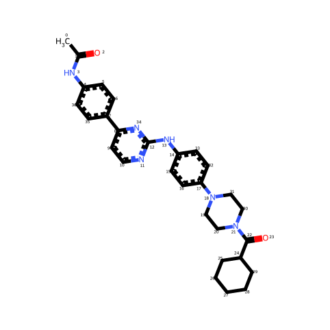 CC(=O)Nc1ccc(-c2ccnc(Nc3ccc(N4CCN(C(=O)C5CCCCC5)CC4)cc3)n2)cc1